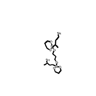 CC(S)CC[Si]1(OCCCO[Si]2(C(C)CCS)OCCCO2)OCCCO1